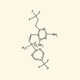 CC(C)(/C=C\c1c(N)nc(N)nc1CCC(F)(F)F)c1ccc(C(F)(F)F)cc1